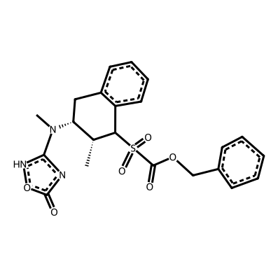 C[C@H]1C(S(=O)(=O)C(=O)OCc2ccccc2)c2ccccc2C[C@H]1N(C)c1nc(=O)o[nH]1